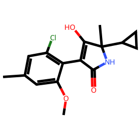 COc1cc(C)cc(Cl)c1C1=C(O)C(C)(C2CC2)NC1=O